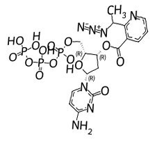 CC(N=[N+]=[N-])c1ncccc1C(=O)O[C@@H]1C[C@H](n2ccc(N)nc2=O)O[C@@H]1COP(=O)(O)OP(=O)(O)OP(=O)(O)O